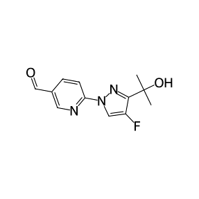 CC(C)(O)c1nn(-c2ccc(C=O)cn2)cc1F